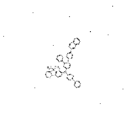 CC1(C)C2=CC=CCC2c2ccc(N(c3ccc(-c4ccccc4)cc3)c3ccc(-c4ccc(-c5ccc6ccccc6c5)cc4)c(-c4ccccc4)c3)cc21